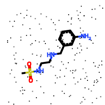 CS(=O)(=O)NCCNCc1cccc(N)c1